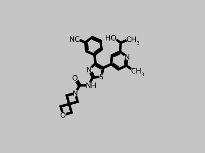 Cc1cc(-c2sc(NC(=O)N3CC4(COC4)C3)nc2-c2cccc(C#N)c2)cc(C(C)O)n1